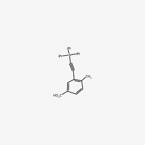 Cc1ccc(C(=O)O)cc1C#C[Si](C(C)C)(C(C)C)C(C)C